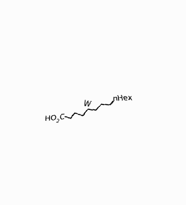 CCCCCCCCCCCCCC(=O)O.[W]